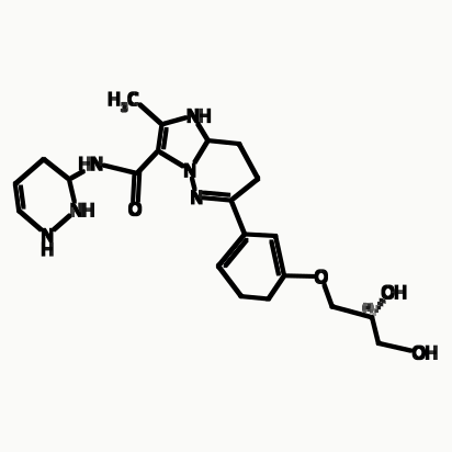 CC1=C(C(=O)NC2CC=CNN2)N2N=C(C3=CCCC(OC[C@H](O)CO)=C3)CCC2N1